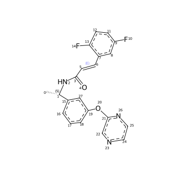 C[C@H](NC(=O)/C=C/c1cc(F)ccc1F)c1cccc(Oc2cnccn2)c1